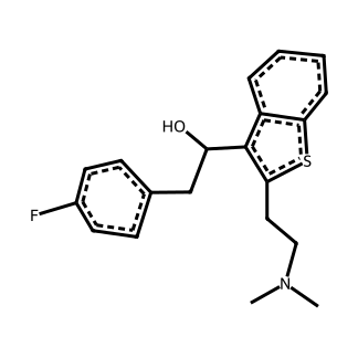 CN(C)CCc1sc2ccccc2c1C(O)Cc1ccc(F)cc1